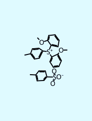 COc1ccccc1[S+](c1ccc(C)cc1)c1ccccc1OC.Cc1ccc(S(=O)(=O)[O-])cc1